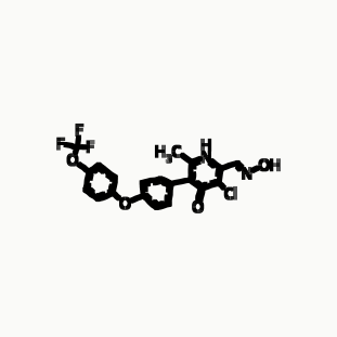 Cc1[nH]c(C=NO)c(Cl)c(=O)c1-c1ccc(Oc2ccc(OC(F)(F)F)cc2)cc1